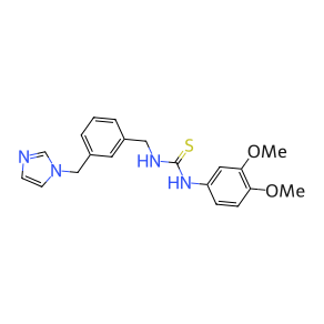 COc1ccc(NC(=S)NCc2cccc(Cn3ccnc3)c2)cc1OC